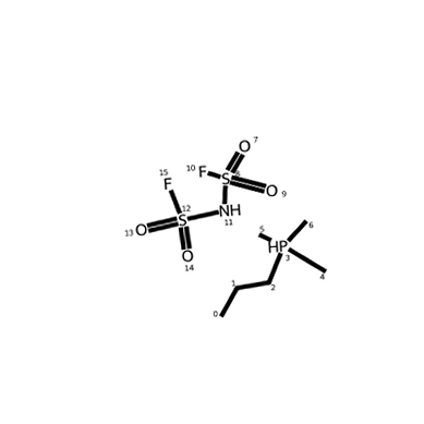 CCC[PH](C)(C)C.O=S(=O)(F)NS(=O)(=O)F